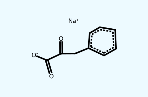 O=C([O-])C(=O)Cc1ccccc1.[Na+]